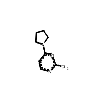 Cc1nccc(N2C[CH]CC2)n1